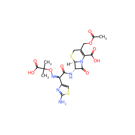 CC(=O)OCC1=C(C(=O)O)N2C(=O)[C@H](NC(=O)/C(=N\OC(C)(C)C(=O)O)c3csc(N)n3)[C@H]2SC1